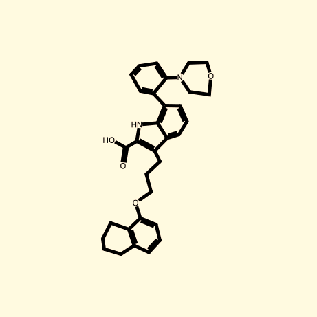 O=C(O)c1[nH]c2c(-c3ccccc3N3CCOCC3)cccc2c1CCCOc1cccc2c1CCCC2